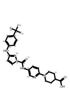 O=C(O)C1CCN(c2ccc(NC(=O)n3ccc(Nc4ccc(C(F)(F)F)cc4)n3)cn2)CC1